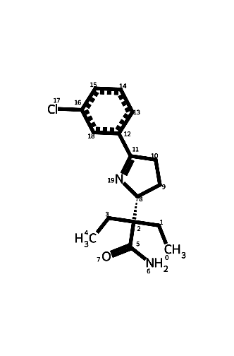 CCC(CC)(C(N)=O)[C@H]1CCC(c2cccc(Cl)c2)=N1